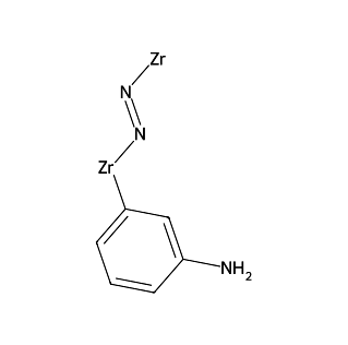 Nc1ccc[c]([Zr][N]=[N][Zr])c1